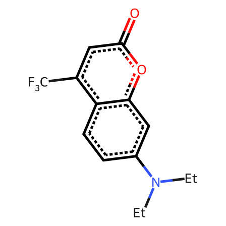 CCN(CC)c1ccc2c(C(F)(F)F)cc(=O)oc2c1